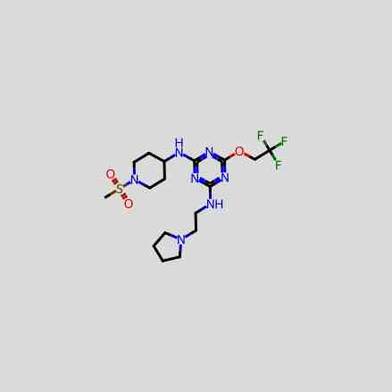 CS(=O)(=O)N1CCC(Nc2nc(NCCN3CCCC3)nc(OCC(F)(F)F)n2)CC1